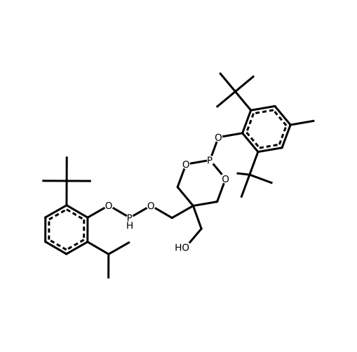 Cc1cc(C(C)(C)C)c(OP2OCC(CO)(COPOc3c(C(C)C)cccc3C(C)(C)C)CO2)c(C(C)(C)C)c1